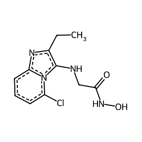 CCc1nc2cccc(Cl)n2c1NCC(=O)NO